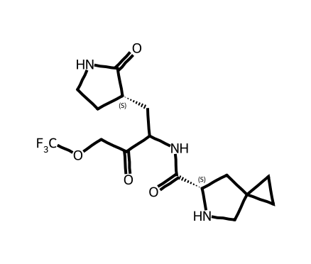 O=C(COC(F)(F)F)C(C[C@@H]1CCNC1=O)NC(=O)[C@@H]1CC2(CC2)CN1